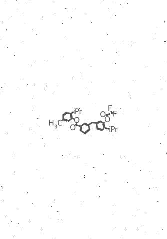 Cc1ccc(C(C)C)c(OC(=O)c2cccc(Cc3ccc(C(C)C)c(OC(=O)C(F)F)c3)c2)c1